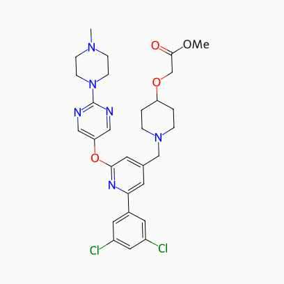 COC(=O)COC1CCN(Cc2cc(Oc3cnc(N4CCN(C)CC4)nc3)nc(-c3cc(Cl)cc(Cl)c3)c2)CC1